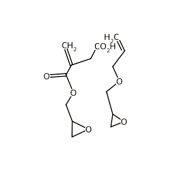 C=C(CC(=O)O)C(=O)OCC1CO1.C=CCOCC1CO1